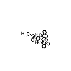 CCCOC(=O)c1ccc(C(c2oc(=O)c3ccccc3c2O)c2c(O)c3ccccc3oc2=O)cc1